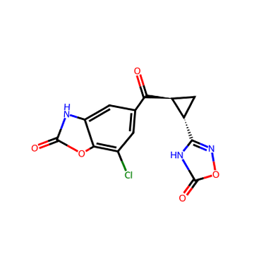 O=C(c1cc(Cl)c2oc(=O)[nH]c2c1)[C@H]1C[C@@H]1c1noc(=O)[nH]1